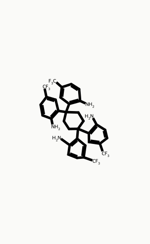 Nc1ccc(C(F)(F)F)cc1C1(c2cc(C(F)(F)F)ccc2N)CCC(c2cc(C(F)(F)F)ccc2N)(c2cc(C(F)(F)F)ccc2N)CC1